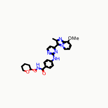 COc1cccn2c(-c3ccnc(Nc4ccc(C(=O)NOC5CCCCO5)cc4)n3)c(C)nc12